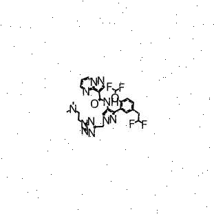 CN(C)CCn1nnc(Cn2cc(NC(=O)c3cnn4cccnc34)c(-c3cc(CC(F)F)ccc3OC(F)F)n2)n1